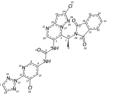 C[C@@H](c1c(NC(=O)Nc2cnc(-n3nccn3)c(Cl)c2)cnc2cc(Cl)nn12)N1C(=O)c2ccccc2C1=O